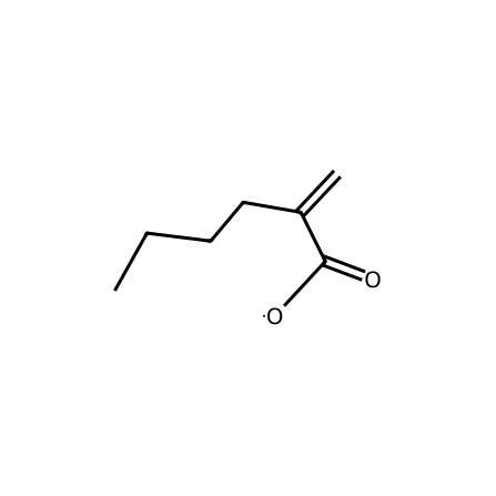 C=C(CCCC)C([O])=O